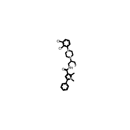 Cc1c(C(=O)NCC(CF)N2CCN(c3cccc(Cl)c3Cl)CC2)cc(-c2ccccc2)n1C